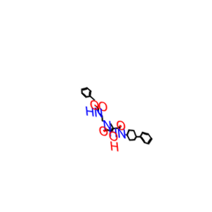 O=C(NCCN1CC(C(=O)NC2CCC(c3ccccc3)CC2)=C(O)C1=O)OCc1ccccc1